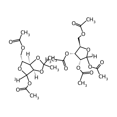 [2H]C1(OC(C)=O)O[C@H](COC(C)=O)[C@@H](OC(C)=O)[C@H]1OC(C)=O.[2H]C1(OC(C)=O)O[C@H](COC(C)=O)[C@H]2OC(C)(C)O[C@H]21